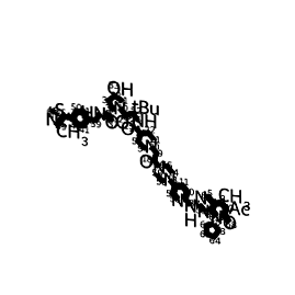 CC(=O)c1c(C)c2cnc(Nc3ccc(N4CCN(C(=O)CN5CCC(C(=O)N[C@H](C(=O)N6C[C@H](O)C[C@H]6C(=O)NCc6ccc(-c7scnc7C)cc6)C(C)(C)C)CC5)CC4)cn3)nc2n(C2CCCC2)c1=O